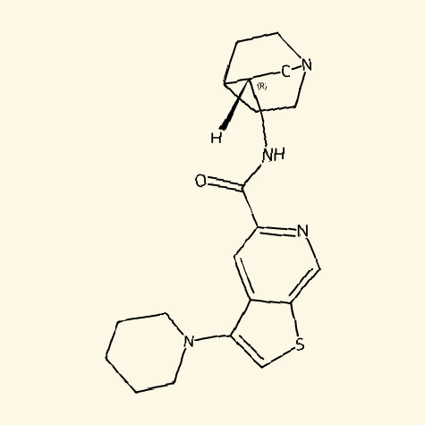 O=C(N[C@H]1CN2CCC1CC2)c1cc2c(N3CCCCC3)csc2cn1